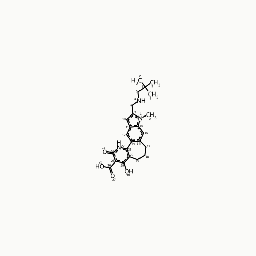 Cn1c(CNCC(C)(C)C)cc2cc3c(cc21)CCCc1c-3[nH]c(=O)c(C(=O)O)c1O